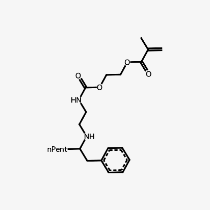 C=C(C)C(=O)OCCOC(=O)NCCNC(CCCCC)Cc1ccccc1